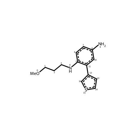 COCCCNc1ccc(N)cc1-c1ccsc1